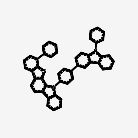 c1ccc(-c2cccc3c2sc2c3ccc3c4ccccc4n(-c4ccc(-c5ccc6c(c5)c5ccccc5n6-c5ccccc5)cc4)c32)cc1